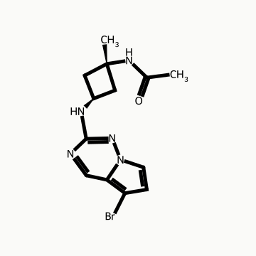 CC(=O)N[C@]1(C)C[C@@H](Nc2ncc3c(Br)ccn3n2)C1